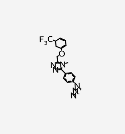 Cn1c(COC2=CC=CC(C(F)(F)F)C2)nnc1-c1ccc(N=[N+]=[N-])cc1